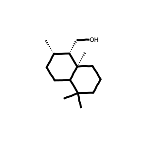 C[C@H]1CCC2C(C)(C)CCC[C@]2(C)[C@H]1CO